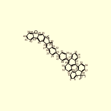 CC1(C)c2ccccc2-c2c(-c3c4ccccc4c(-c4ccc(-c5ccc6cc7c(cc6c5)sc5cc6oc8ccccc8c6cc57)cc4)c4ccccc34)cccc21